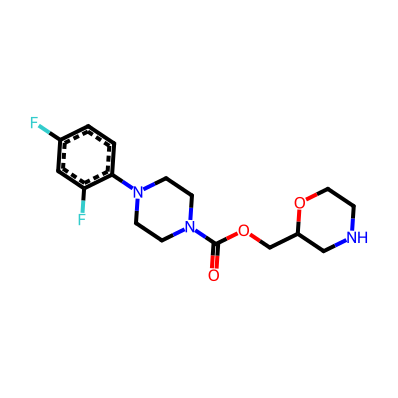 O=C(OCC1CNCCO1)N1CCN(c2ccc(F)cc2F)CC1